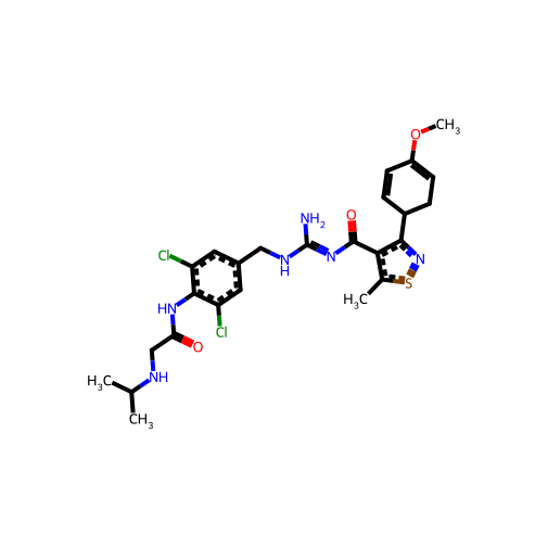 COC1=CCC(c2nsc(C)c2C(=O)/N=C(\N)NCc2cc(Cl)c(NC(=O)CNC(C)C)c(Cl)c2)C=C1